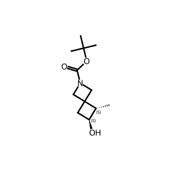 C[C@@H]1[C@@H](O)CC12CN(C(=O)OC(C)(C)C)C2